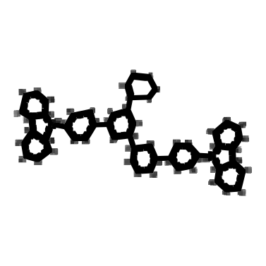 C1=CCCC(c2cc(-c3ccc(-n4c5ccccc5c5ccccc54)cc3)cc(-c3cccc(-c4ccc(-n5c6ccccc6c6ccccc65)cc4)c3)c2)=C1